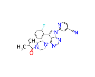 CC(C)C(=O)N1CCN(c2ncnc3c2c(-c2ccccc2F)cn3-c2cc(C#N)ccn2)CC1